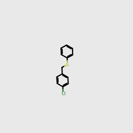 Clc1ccc(CSc2ccccc2)cc1